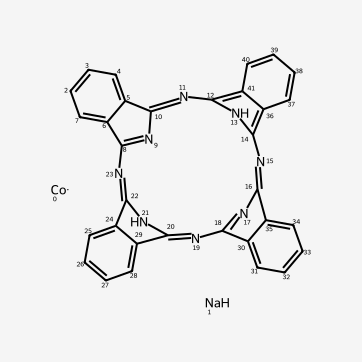 [Co].[NaH].c1ccc2c(c1)-c1nc-2nc2[nH]c(nc3nc(nc4[nH]c(n1)c1ccccc41)-c1ccccc1-3)c1ccccc21